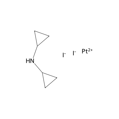 C1CC1NC1CC1.[I-].[I-].[Pt+2]